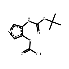 CC(C)(C)OC(=O)Nc1cscc1OC(=O)O